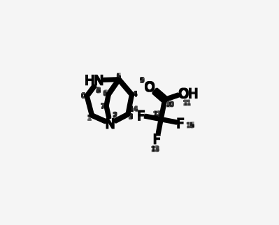 C1CN2CCC(CC2)N1.O=C(O)C(F)(F)F